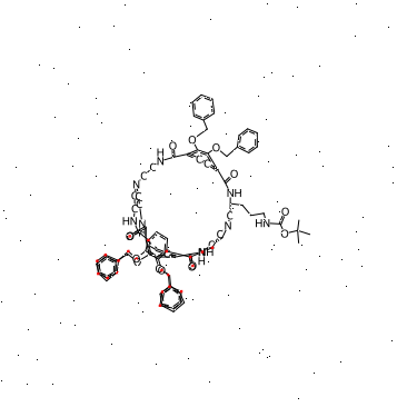 CC(C)(C)OC(=O)NCCCC1CN2CCNC(=O)c3ccc(c(OCc4ccccc4)c3OCc3ccccc3)C(=O)NCCN(CCNC(=O)c3ccc(c(OCc4ccccc4)c3OCc3ccccc3)C(=O)NCC2)CCNC(=O)c2ccc(c(OCc3ccccc3)c2OCc2ccccc2)C(=O)N1